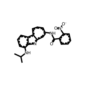 CC(C)Nc1cccc2c3cccc(NC(=O)c4ccccc4[N+](=O)[O-])cc-3nc12